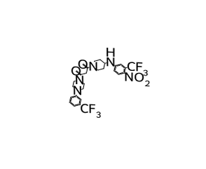 O=C(CC(=O)N1CCN(c2cccc(C(F)(F)F)c2)CC1)N1CCC(Nc2ccc([N+](=O)[O-])c(C(F)(F)F)c2)CC1